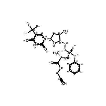 C#CCOC(=O)[C@H](C)N[P@](=O)(OC[C@@H]1O[C@H](n2cc(C(F)(F)F)c(=O)[nH]c2=O)C[C@H]1O)Oc1ccccc1